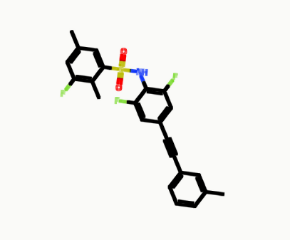 Cc1cccc(C#Cc2cc(F)c(NS(=O)(=O)c3cc(C)cc(F)c3C)c(F)c2)c1